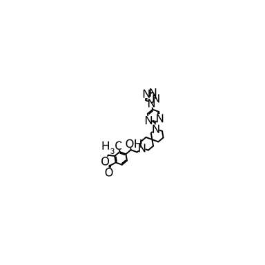 Cc1c(C(O)CN2CCC3(CCCN(c4ncc(-n5cnnn5)cn4)C3)CC2)ccc2c1COC2=O